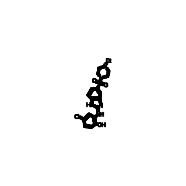 CCN1CCN(S(=O)(=O)c2ccc3[nH]c(Nc4cc(Cl)ccc4O)nc3c2)CC1